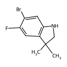 CC1(C)CNc2cc(Br)c(F)cc21